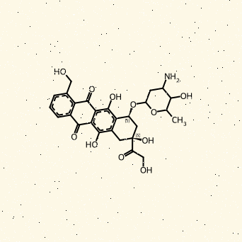 CC1OC(O[C@H]2C[C@](O)(C(=O)CO)Cc3c(O)c4c(c(O)c32)C(=O)c2c(CO)cccc2C4=O)CC(N)C1O